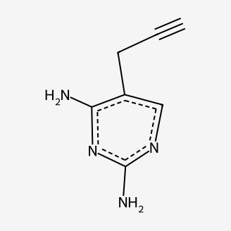 C#CCc1cnc(N)nc1N